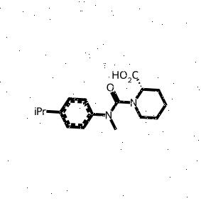 CC(C)c1ccc(N(C)C(=O)N2CCCC[C@H]2C(=O)O)cc1